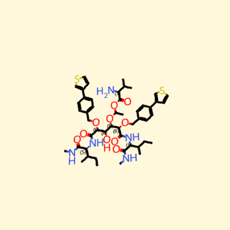 CCC(C)[C@H](NC(=O)[C@H](OCc1ccc(-c2ccsc2)cc1)[C@H](O)[C@@H](OC(C)OC(=O)[C@@H](N)C(C)C)[C@@H](OCc1ccc(-c2ccsc2)cc1)C(=O)N[C@H](C(=O)NC)C(C)CC)C(=O)NC